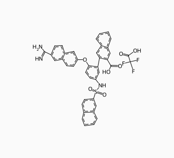 N=C(N)c1ccc2cc(Oc3ccc(NS(=O)(=O)c4ccc5ccccc5c4)cc3-c3cc4ccccc4cc3C(=O)O)ccc2c1.O=C(O)C(F)(F)F